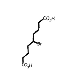 O=C(O)CCCC(Br)CCCC(=O)O